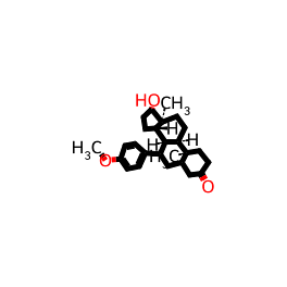 COc1ccc(C2CC3CC(=O)CC[C@]3(C)[C@@H]3CC[C@]4(C)C(O)CC[C@H]4[C@H]23)cc1